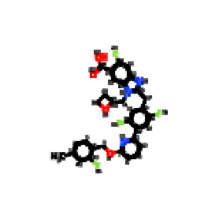 Cc1ccc(COc2cccc(-c3cc(F)c(Cc4nc5cc(F)c(C(=O)O)cc5n4C[C@@H]4CCO4)cc3F)n2)c(F)c1